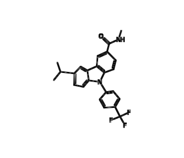 CNC(=O)c1ccc2c(c1)c1cc(C(C)C)ccc1n2-c1ccc(C(F)(F)F)cc1